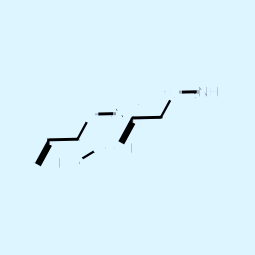 C=CCON.C=CCON.O=S(=O)(O)O